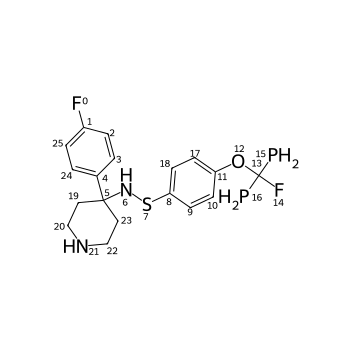 Fc1ccc(C2(NSc3ccc(OC(F)(P)P)cc3)CCNCC2)cc1